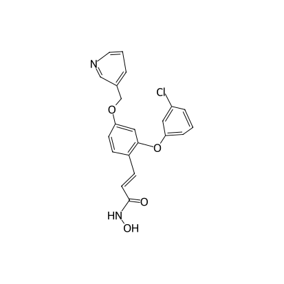 O=C(C=Cc1ccc(OCc2cccnc2)cc1Oc1cccc(Cl)c1)NO